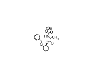 C[C@H](NC(=O)OC(C)(C)C)C(=O)Oc1ccccc1OCc1ccccc1